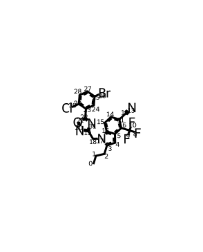 CCCc1cc2c(C(F)(F)F)c(C#N)ccc2n1Cc1noc(-c2cc(Br)ccc2Cl)n1